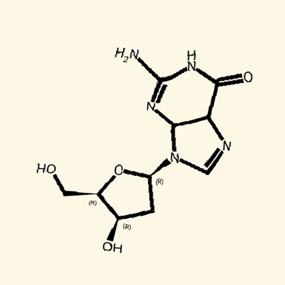 NC1=NC2C(N=CN2[C@H]2C[C@@H](O)[C@@H](CO)O2)C(=O)N1